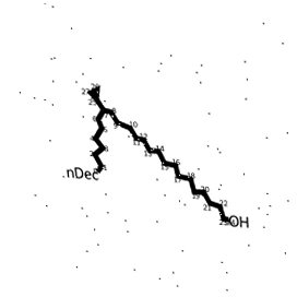 CCCCCCCCCCCCCCCCC(CCCCCCCCCCCCCCCCO)[C]1CC1